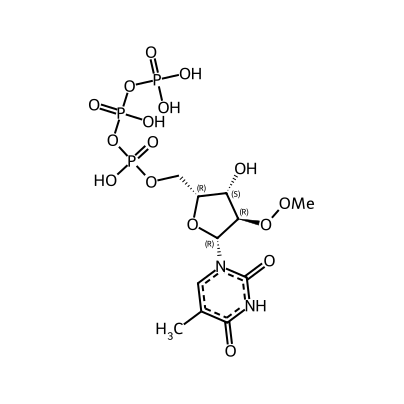 COO[C@@H]1[C@@H](O)[C@@H](COP(=O)(O)OP(=O)(O)OP(=O)(O)O)O[C@H]1n1cc(C)c(=O)[nH]c1=O